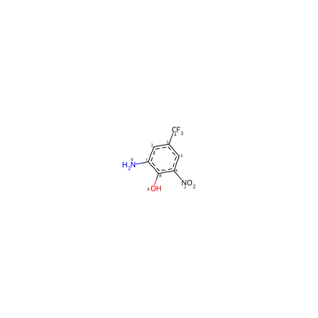 Nc1cc(C(F)(F)F)cc([N+](=O)[O-])c1O